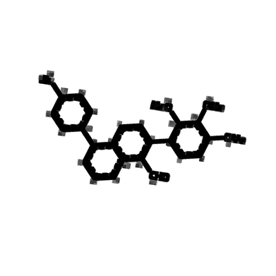 COc1ccc(-c2ccc3c(-c4ccc(C(C)(C)C)cc4)cccc3c2C=O)c(OC)c1OC